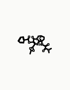 CC1OC(c2nc3n(c(=O)c2OC(=O)c2ccccc2)CC2CCC3(NC(=O)C(=O)N(C)C)CC2)O1